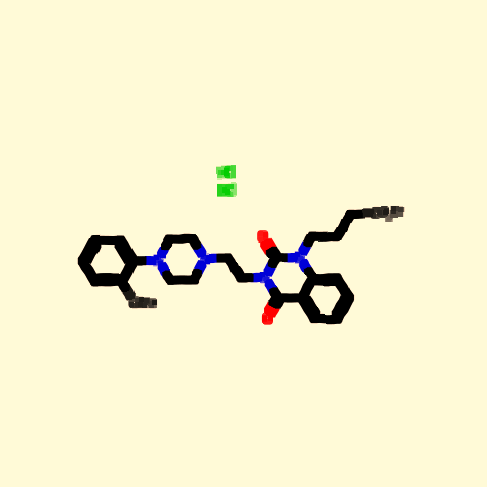 CCOC(=O)CCCn1c(=O)n(CCN2CCN(c3ccccc3OC)CC2)c(=O)c2ccccc21.Cl.Cl